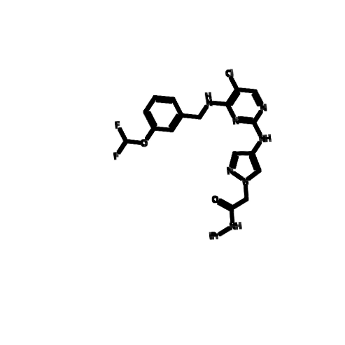 CC(C)NC(=O)Cn1cc(Nc2ncc(Cl)c(NCc3cccc(OC(F)F)c3)n2)cn1